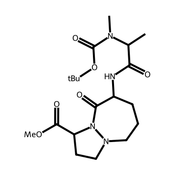 COC(=O)C1CCN2CCCC(NC(=O)C(C)N(C)C(=O)OC(C)(C)C)C(=O)N12